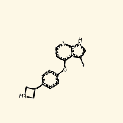 Cc1c[nH]c2nccc(Oc3ccc(C4CNC4)cc3)c12